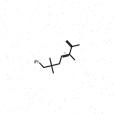 C=C(C)/C(C)=C/CC(C)(C)CC(C)C